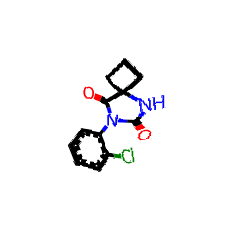 O=C1NC2(CCC2)C(=O)N1c1ccccc1Cl